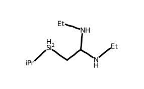 CCNC(C[SiH2]C(C)C)NCC